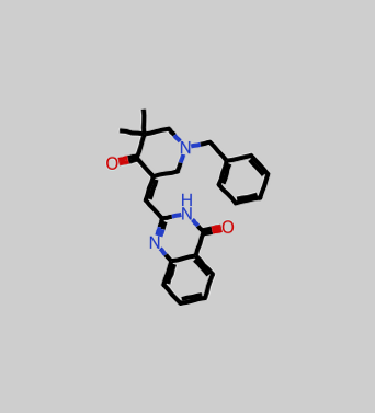 CC1(C)CN(Cc2ccccc2)CC(=Cc2nc3ccccc3c(=O)[nH]2)C1=O